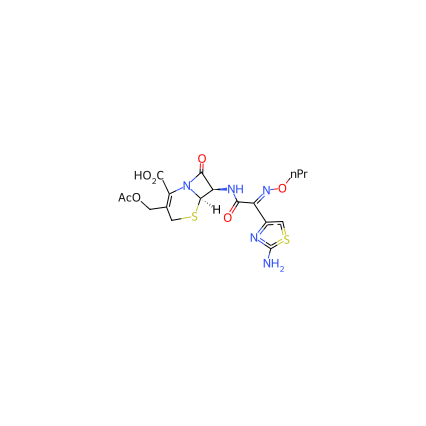 CCCON=C(C(=O)N[C@@H]1C(=O)N2C(C(=O)O)=C(COC(C)=O)CS[C@H]12)c1csc(N)n1